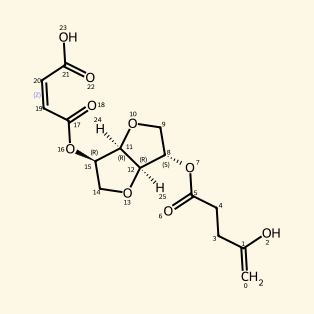 C=C(O)CCC(=O)O[C@H]1CO[C@H]2[C@@H]1OC[C@H]2OC(=O)/C=C\C(=O)O